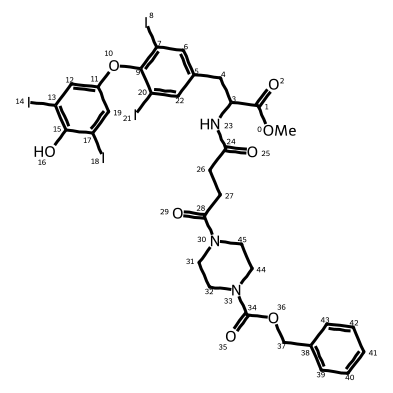 COC(=O)C(Cc1cc(I)c(Oc2cc(I)c(O)c(I)c2)c(I)c1)NC(=O)CCC(=O)N1CCN(C(=O)OCc2ccccc2)CC1